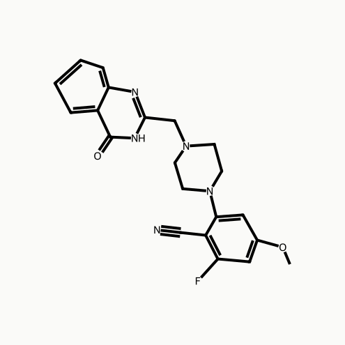 COc1cc(F)c(C#N)c(N2CCN(Cc3nc4ccccc4c(=O)[nH]3)CC2)c1